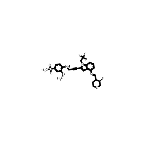 COc1cc(S(C)(=O)=O)ccc1NCC#Cc1cc2c(/N=C/C3CCOC[C@@H]3F)cccc2n1CC(F)(F)F